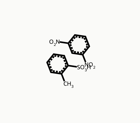 Cc1ccccc1S(=O)(=O)O.O=[N+]([O-])c1cccc([N+](=O)[O-])c1